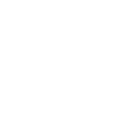 CC1CCCC(=O)c2cc(Cl)ccc2S1